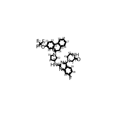 O=C1CN(c2nc(N[C@H]3CCN(C(=O)Cc4ccccc4-c4ccc(OC(F)(F)F)cc4)C3)nc3cc(F)ccc23)CCN1